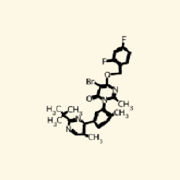 Cc1ccc(-c2nc(C(C)(C)C)ncc2C)cc1-n1c(C)nc(OCc2ccc(F)cc2F)c(Br)c1=O